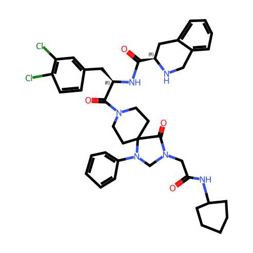 O=C(CN1CN(c2ccccc2)C2(CCN(C(=O)[C@@H](Cc3ccc(Cl)c(Cl)c3)NC(=O)[C@H]3Cc4ccccc4CN3)CC2)C1=O)NC1CCCCC1